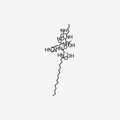 CCCCCCCCCCCCCCCC(=O)N[C@@H](CO)C(=O)N[C@@H](Cc1c[nH]cn1)C(=O)N[C@@H](C(C)O)C(O)NC(CCCC)C(=O)NC